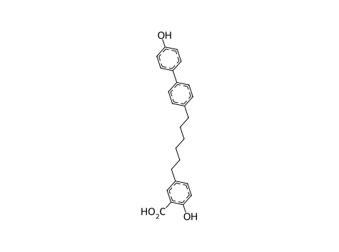 O=C(O)c1cc(CCCCCCc2ccc(-c3ccc(O)cc3)cc2)ccc1O